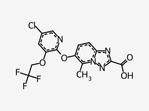 Cc1c(Oc2ncc(Cl)cc2OCC(F)(F)F)ccc2nc(C(=O)O)nn12